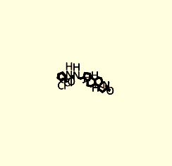 CN1C(=O)CC[C@@]2(C)C1CC[C@@H]1[C@H]2CC[C@]2(C)C(CNC(=O)Nc3cccc(Cl)c3Cl)CC[C@@H]12